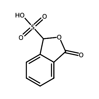 O=C1OC(S(=O)(=O)O)c2ccccc21